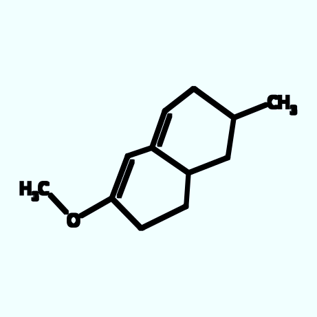 COC1=CC2=CCC(C)CC2CC1